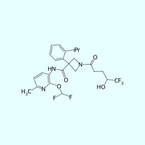 Cc1ccc(NC(=O)C2(c3ccccc3C(C)C)CN(C(=O)CCC(O)C(F)(F)F)C2)c(OC(F)F)n1